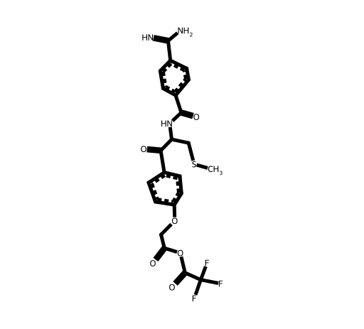 CSCC(NC(=O)c1ccc(C(=N)N)cc1)C(=O)c1ccc(OCC(=O)OC(=O)C(F)(F)F)cc1